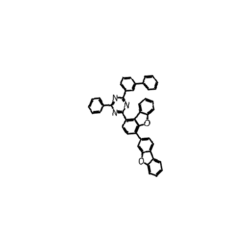 c1ccc(-c2cccc(-c3nc(-c4ccccc4)nc(-c4ccc(-c5ccc6c(c5)oc5ccccc56)c5oc6ccccc6c45)n3)c2)cc1